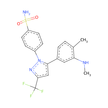 CNc1cc(-c2cc(C(F)(F)F)nn2-c2ccc(S(N)(=O)=O)cc2)ccc1C